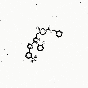 CS(=O)(=O)c1cccc(-c2ccc(-c3cc(CN4CCN(C(=O)OCc5ccccc5)CC4=O)nn3-c3ccccc3Cl)s2)c1